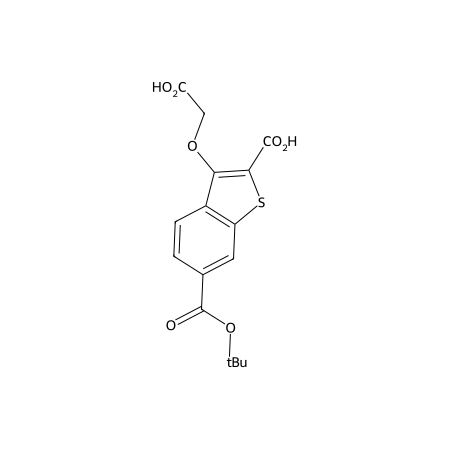 CC(C)(C)OC(=O)c1ccc2c(OCC(=O)O)c(C(=O)O)sc2c1